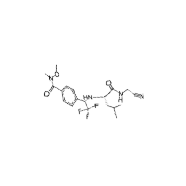 CON(C)C(=O)c1ccc([C@H](N[C@@H](CC(C)C)C(=O)NCC#N)C(F)(F)F)cc1